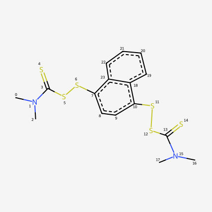 CN(C)C(=S)SSc1ccc(SSC(=S)N(C)C)c2ccccc12